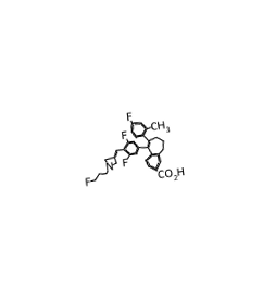 Cc1cc(F)ccc1C1=C(c2cc(F)c(C=C3CN(CCCF)C3)c(F)c2)c2ccc(C(=O)O)cc2CCC1